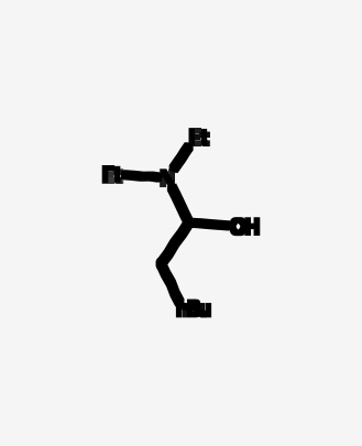 CCCCCC(O)N(CC)CC